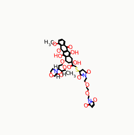 COc1cccc2c1C(=O)c1c(O)c3c(c(O)c1C2=O)C[C@@](O)(C(=O)CSC1CC(=O)N(CCOCCOCCN2C(=O)C=CC2=O)C1=O)C[C@@H]3O[C@H]1C[C@H]2[C@H](O[C@@H]3COCCN32)[C@H](C)O1